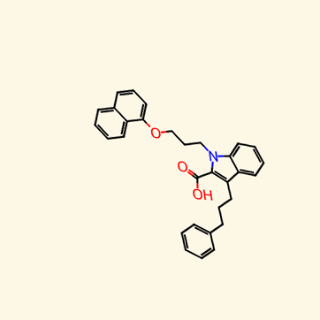 O=C(O)c1c(CCCc2ccccc2)c2ccccc2n1CCCOc1cccc2ccccc12